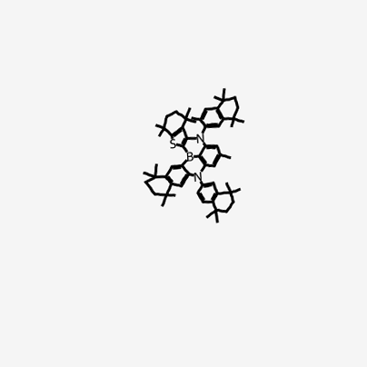 Cc1cc2c3c(c1)N(c1cc4c(cc1C)C(C)(C)CCC4(C)C)c1c(sc4c1C(C)(C)CCC4(C)C)B3c1cc3c(cc1N2c1ccc2c(c1)C(C)(C)CCC2(C)C)C(C)(C)CCC3(C)C